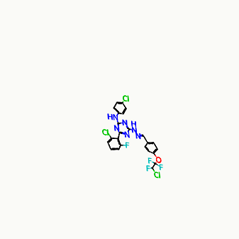 Fc1cccc(Cl)c1-c1nc(NN=Cc2ccc(OC(F)(F)C(F)Cl)cc2)nc(Nc2ccc(Cl)cc2)n1